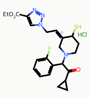 CCOC(=O)c1cn(C/C=C2\CN(C(C(=O)C3CC3)c3ccccc3F)CCC2S)nn1.Cl